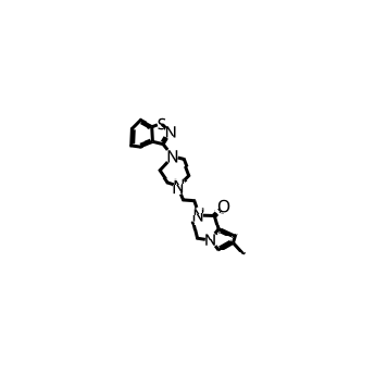 Cc1cc2n(c1)CCN(CCN1CCN(c3nsc4ccccc34)CC1)C2=O